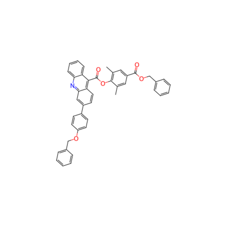 Cc1cc(C(=O)OCc2ccccc2)cc(C)c1OC(=O)c1c2ccccc2nc2cc(-c3ccc(OCc4ccccc4)cc3)ccc12